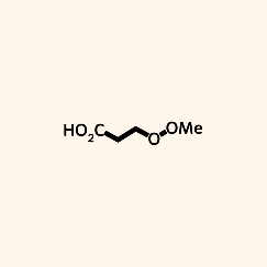 COOCCC(=O)O